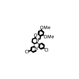 COc1ccc(CN2C(=O)CC[C@@H](c3cc(Cl)ccn3)[C@@H]2c2ccc(Cl)cc2)c(OC)c1